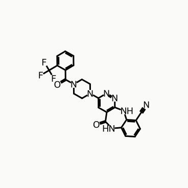 N#Cc1cccc2c1Nc1nnc(N3CCN(C(=O)c4ccccc4C(F)(F)F)CC3)cc1C(=O)N2